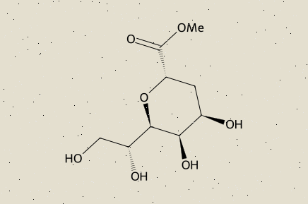 COC(=O)[C@@H]1C[C@@H](O)[C@@H](O)[C@@H]([C@H](O)CO)O1